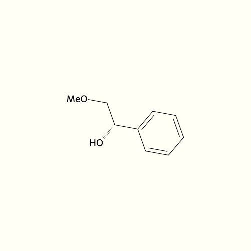 COC[C@@H](O)c1ccccc1